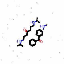 CC(C)NCCCC(=O)CCCNC(C)C.CNC.O=C(c1ccccc1)c1ccccc1